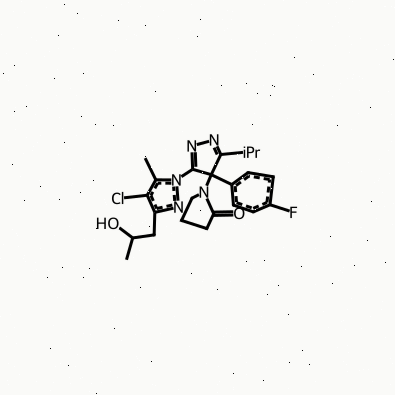 Cc1c(Cl)c(CC(C)O)nn1C1=NN=C(C(C)C)C1(c1ccc(F)cc1)N1CCCC1=O